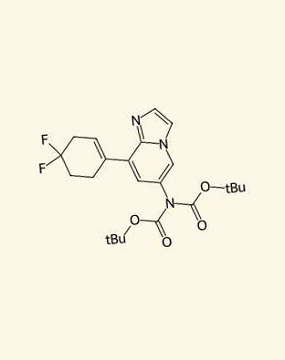 CC(C)(C)OC(=O)N(C(=O)OC(C)(C)C)c1cc(C2=CCC(F)(F)CC2)c2nccn2c1